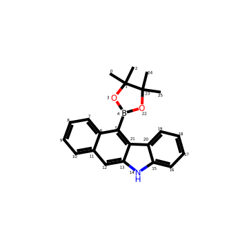 CC1(C)OB(c2c3ccccc3cc3[nH]c4ccccc4c23)OC1(C)C